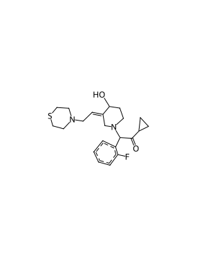 O=C(C1CC1)C(c1ccccc1F)N1CCC(O)C(=CCN2CCSCC2)C1